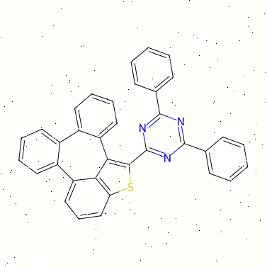 c1ccc(-c2nc(-c3ccccc3)nc(-c3sc4cccc5c4c3-c3ccccc3-c3ccccc3-5)n2)cc1